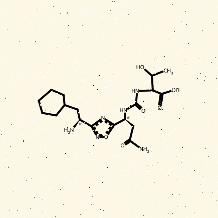 CC(O)C(NC(=O)N[C@@H](CC(N)=O)c1nc([C@@H](N)CC2CCCCC2)no1)C(=O)O